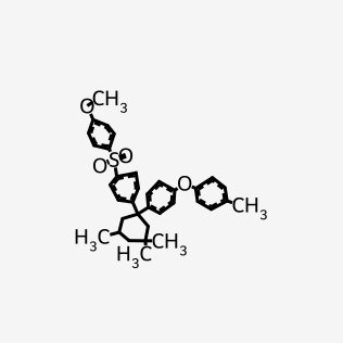 COc1ccc(S(=O)(=O)c2ccc(C3(c4ccc(Oc5ccc(C)cc5)cc4)CC(C)CC(C)(C)C3)cc2)cc1